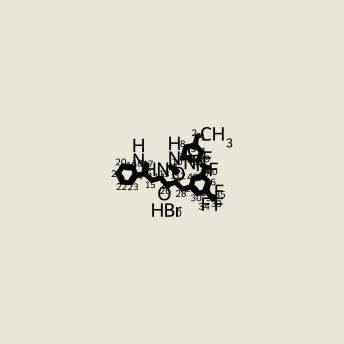 Br.CCC12CCN(CC1)C(NC(=O)NC(Cc1c[nH]c3ccccc13)C(=O)CCc1cc(C(F)(F)F)cc(C(F)(F)F)c1)C2